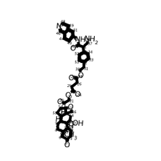 C[C@]12C=CC(=O)C=C1CC[C@@H]1[C@@H]2[C@@H](O)C[C@]23CO[C@]2(C(=O)COC(=O)CCC(=O)OCCc2ccc(C(CN)C(=O)Nc4ccc5cnccc5c4)cc2)CC[C@@H]13